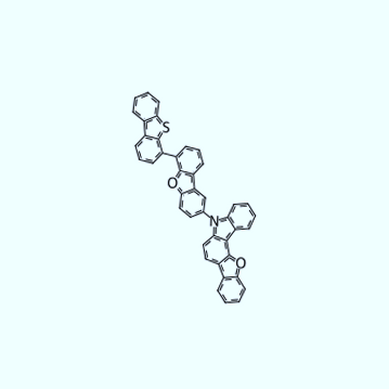 c1ccc2c(c1)oc1c2ccc2c1c1ccccc1n2-c1ccc2oc3c(-c4cccc5c4sc4ccccc45)cccc3c2c1